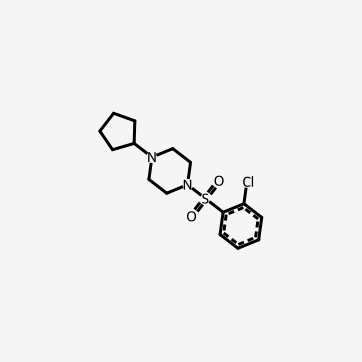 O=S(=O)(c1ccccc1Cl)N1CCN(C2CCCC2)CC1